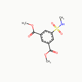 CNS(=O)(=O)c1cc(C(=O)OC)cc(C(=O)OC)c1